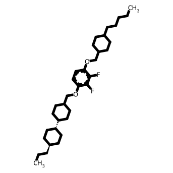 CCCCCC1CCC(COc2ccc(OCC3CCC([C@H]4CC[C@H](CCC)CC4)CC3)c(F)c2F)CC1